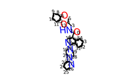 O=C(NCC1COc2ccccc2O1)c1cnc(N2CCN(c3ccccn3)CC2)c2ccccc12